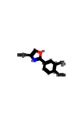 COc1ccc(-c2nc(C(=O)O)co2)cc1C(F)(F)F